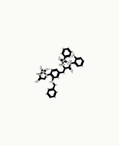 Nc1ccccc1NC(=O)C(Cc1ccc(N2CC(=O)NS2(=O)=O)c(OCc2ccccc2)c1)NS(=O)(=O)c1ccccc1